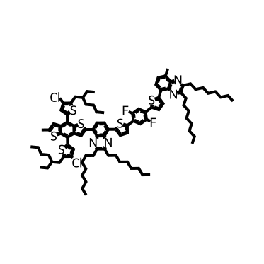 CCCCCCCCc1nc2c(C)ccc(-c3ccc(-c4cc(F)c(-c5ccc(-c6ccc(-c7cc8c(-c9cc(Cl)c(CC(CC)CCCC)s9)c9sc(C)cc9c(-c9cc(Cl)c(CC(CC)CCCC)s9)c8s7)c7nc(CCCCCCCC)c(CCCCCCCC)nc67)s5)cc4F)s3)c2nc1CCCCCCCC